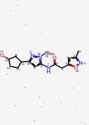 Cc1cc(CC(=O)Nc2cc(C3CCC(O)C3)nn2C(C)(C)C)on1